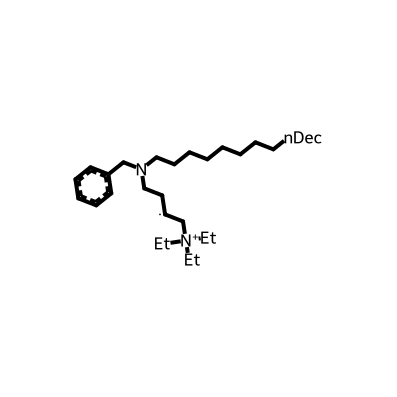 CCCCCCCCCCCCCCCCCCN(CC[CH]C[N+](CC)(CC)CC)Cc1ccccc1